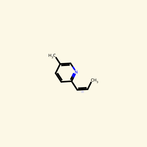 C/C=C\c1ccc(C)cn1